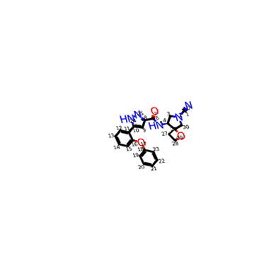 N#CN1C[C@H](NC(=O)c2cc(-c3ccccc3Oc3ccccc3)[nH]n2)[C@]2(CCO2)C1